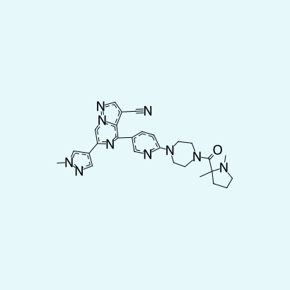 CN1CCCC1(C)C(=O)N1CCN(c2ccc(-c3nc(-c4cnn(C)c4)cn4ncc(C#N)c34)cn2)CC1